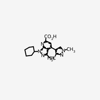 Cc1nn(C)cc1-c1cc(C(=O)O)nc2c1c(C(C)C)nn2C1CCCCC1